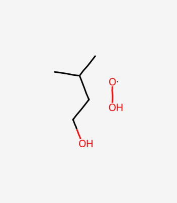 CC(C)CCO.[O]O